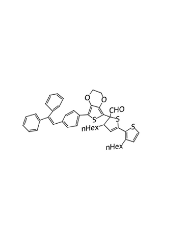 CCCCCCc1ccsc1C1=CC(CCCCCC)C(C=O)(c2sc(-c3ccc(C=C(c4ccccc4)c4ccccc4)cc3)c3c2OCCO3)S1